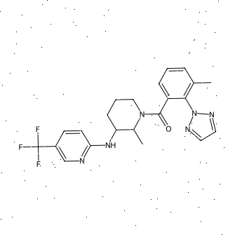 Cc1cccc(C(=O)N2CCCC(Nc3ccc(C(F)(F)F)cn3)C2C)c1-n1nccn1